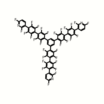 Fc1ccc(-c2c(F)c(F)c(-c3c(F)c(F)c(-c4cc(-c5c(F)c(F)c(-c6c(F)c(F)c(-c7ccc(F)nc7F)c(F)c6F)c(F)c5F)cc(-c5c(F)c(F)c(-c6c(F)c(F)c(-c7ccc(F)nc7F)c(F)c6F)c(F)c5F)c4)c(F)c3F)c(F)c2F)c(F)n1